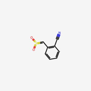 N#Cc1[c]cccc1C=S(=O)=O